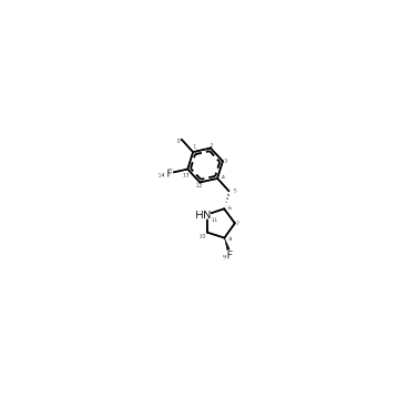 Cc1ccc(C[C@@H]2C[C@@H](F)CN2)cc1F